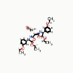 CCOc1cccc([C@H]2N=C(CC3=N[C@H](c4cccc(OCC)c4)C(OCC)O3)OC2OCC)c1.[Br-].[Br-].[Ni+2]